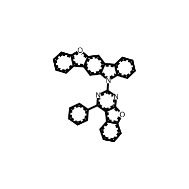 c1ccc(-c2nc(-n3c4ccccc4c4cc5oc6ccccc6c5cc43)nc3oc4ccccc4c23)cc1